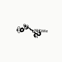 COc1ccc2nccc([C@@H](N)CCCC[C@H]3CN(c4ccc5c(c4)OCCO5)C(=O)O3)c2n1